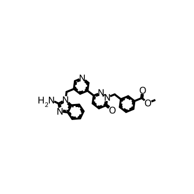 COC(=O)c1cccc(Cn2nc(-c3cncc(Cn4c(N)nc5ccccc54)c3)ccc2=O)c1